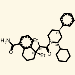 CC[C@@H](C(=O)N1CC[C@@H](c2ccccc2)C[C@H]1C1CCCCC1)[C@]1(CC)CCCc2c(C(N)=O)cccc21